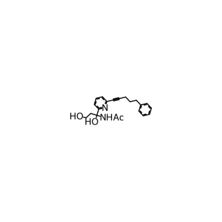 CC(=O)NC(O)(CCO)c1cccc(C#CCCCc2ccccc2)n1